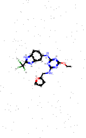 CCOc1nc(NCc2ccco2)nc(Nc2ccc3[nH]c(C(F)(F)F)nc3c2)n1